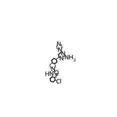 CN1CCN(c2cc(-c3ccc4c(c3)CN(C(=O)Nc3cccc(Cl)c3F)CC4)nc(N)n2)CC1